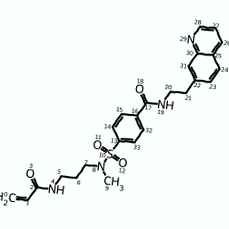 C=CC(=O)NCCCN(C)S(=O)(=O)c1ccc(C(=O)NCCc2ccc3cccnc3c2)cc1